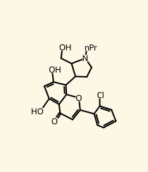 CCCN1CCC(c2c(O)cc(O)c3c(=O)cc(-c4ccccc4Cl)oc23)C1CO